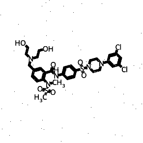 CN(c1ccc(CN(CCO)CCO)cc1C(=O)Nc1ccc(S(=O)(=O)N2CCN(c3cc(Cl)cc(Cl)c3)CC2)cc1)S(C)(=O)=O